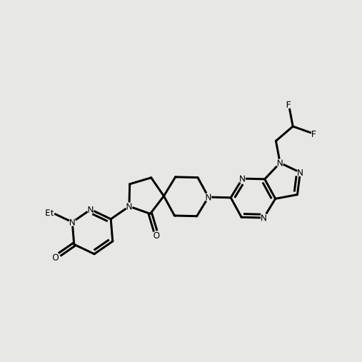 CCn1nc(N2CCC3(CCN(c4cnc5cnn(CC(F)F)c5n4)CC3)C2=O)ccc1=O